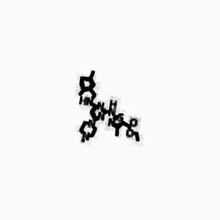 CCOC(=O)c1sc(Nc2nc(NCc3cc(C)ccc3C)cc(N3CCN(C)CC3)n2)nc1C